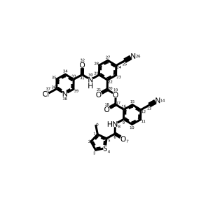 Cc1ccsc1C(=O)Nc1ccc(C#N)cc1C(=O)OC(=O)c1cc(C#N)ccc1NC(=O)c1ccc(Cl)nc1